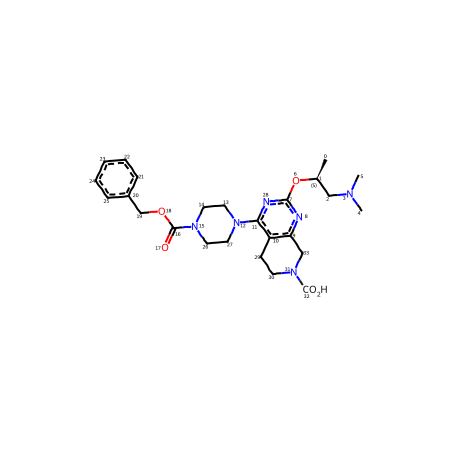 C[C@@H](CN(C)C)Oc1nc2c(c(N3CCN(C(=O)OCc4ccccc4)CC3)n1)CCN(C(=O)O)C2